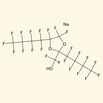 OC(F)(F)C1(C(F)(F)C(F)(F)C(F)(F)C(F)(F)F)OC(F)(F)C(F)(C(F)(F)C(F)(F)C(F)(F)C(F)(F)F)O1.[Na]